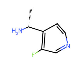 C[C@@H](N)c1ccncc1F